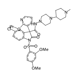 COc1ccc(S(=O)(=O)N2C(=O)C(C(=O)NN3CCN(C4CCN(C)CC4)CC3)(c3cccnc3OC(C)C)c3cc(Cl)ccc32)c(OC)c1